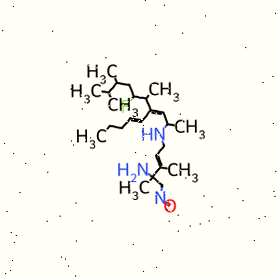 CCC/C=C/C(=C\C(C)NC/C=C(\C)C(C)(N)CN=O)C(C)C(F)CC(C)C(C)C